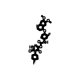 COc1cc2nccc(Oc3ccc(NC(=O)Oc4n[nH]c(=O)n(-c5ccc(F)cc5)c4=O)cc3F)c2cc1OC